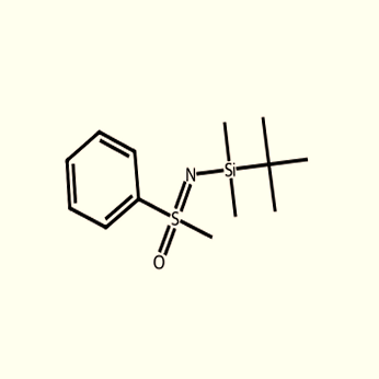 CC(C)(C)[Si](C)(C)N=S(C)(=O)c1ccccc1